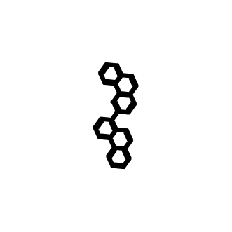 [c]1c(-c2cccc3c2ccc2ccccc23)ccc2ccc3ccccc3c12